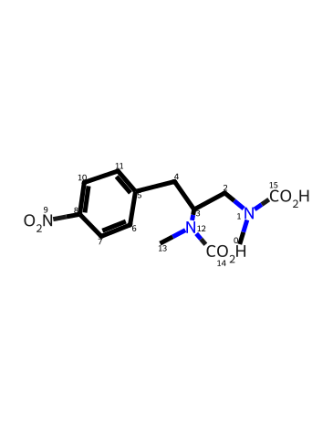 CN(CC(Cc1ccc([N+](=O)[O-])cc1)N(C)C(=O)O)C(=O)O